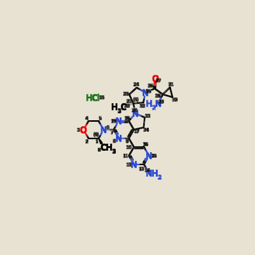 C[C@H]1COCCN1c1nc(-c2cnc(N)nc2)c2c(n1)N([C@@]1(C)CCN(C(=O)C3(N)CC3)C1)CC2.Cl